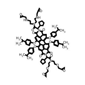 CC(C)c1ccc(Oc2cc3c4c(cc(Oc5ccc(C(C)C)cc5)c5c6c(Oc7ccc(C(C)C)cc7)cc7c8c(cc(Oc9ccc(C(C)C)cc9)c(c2c45)c86)C(=O)N(C(C(=O)N(CCOCC2CO2)CCOCC2CO2)C2CCCC2)C7=O)C(=O)N(C(C(=O)N(CCNCC2CO2)CCNCC2CO2)C2CCCC2)C3=O)cc1